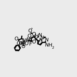 COC1O[C@@H]2[C@H](O1)[C@@](F)(COP(=O)(NC(C)C(=O)O)Oc1ccccc1)O[C@@]2(C#N)c1ccc2c(N)ncnn12